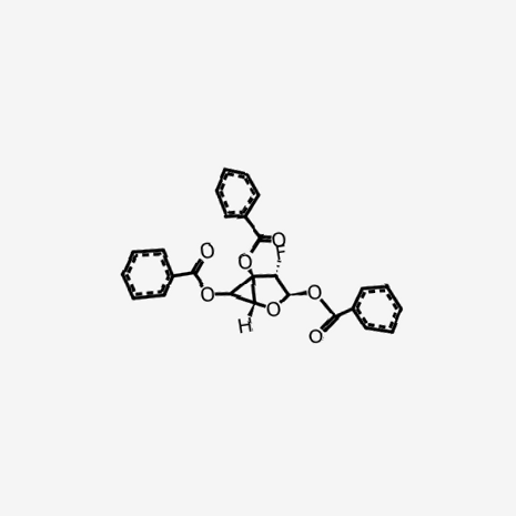 O=C(OC1[C@H]2O[C@H](OC(=O)c3ccccc3)[C@@H](F)[C@@]12OC(=O)c1ccccc1)c1ccccc1